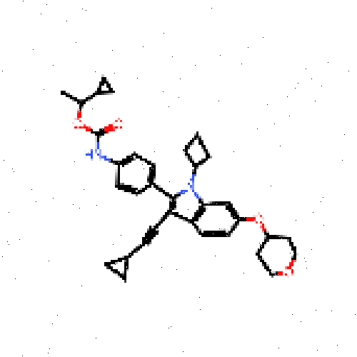 CC(OC(=O)Nc1ccc(-c2c(C#CC3CC3)c3ccc(OC4CCOCC4)cc3n2C2CCC2)cc1)C1CC1